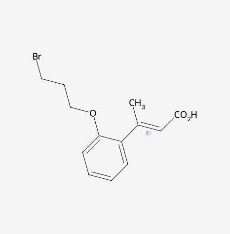 C/C(=C\C(=O)O)c1ccccc1OCCCBr